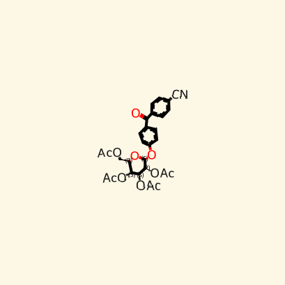 CC(=O)OC[C@H]1O[C@@H](Oc2ccc(C(=O)c3ccc(C#N)cc3)cc2)[C@H](OC(C)=O)[C@@H](OC(C)=O)[C@H]1OC(C)=O